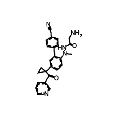 CN(NC(=O)CN)c1ccc(C2(C(=O)c3cccnc3)CC2)cc1-c1ccc(C#N)cc1